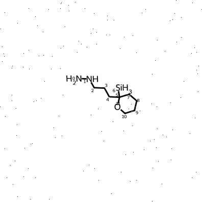 NNCCCC1([SiH3])CCCCO1